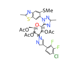 CSc1cc2nc(C)sc2cc1-n1nc(C)nc1[C@@H]1O[C@H](COC(C)=O)[C@H](OC(C)=O)[C@H](n2cc(-c3ccc(Cl)c(F)c3F)cn2)[C@H]1OC(C)=O